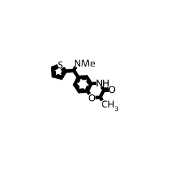 CNC(c1ccc2c(c1)NC(=O)C(C)O2)c1cccs1